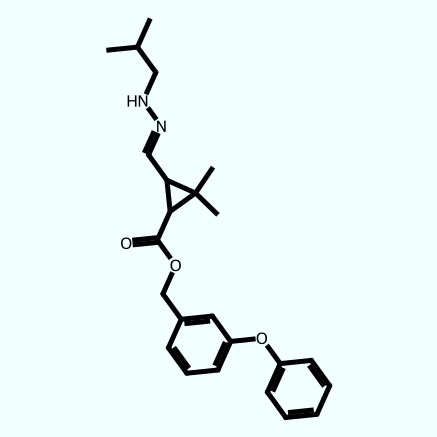 CC(C)CN/N=C/C1C(C(=O)OCc2cccc(Oc3ccccc3)c2)C1(C)C